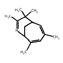 CC1=CC2CC(N=C(C)C2(C)C)C(C)=C1